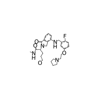 CNC(=O)C(CCC=O)N1Cc2c(NCc3cc(OCCN4CCCC4)ccc3F)cccc2C1=O